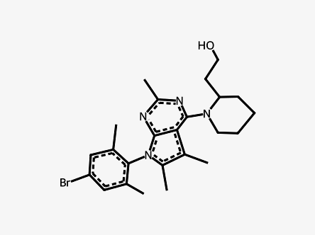 Cc1nc(N2CCCCC2CCO)c2c(C)c(C)n(-c3c(C)cc(Br)cc3C)c2n1